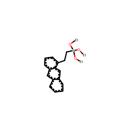 CCO[Si](CCc1cccc2cc3ccccc3cc12)(OCC)OCC